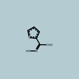 O=[C]/C(=N/O)c1cccs1